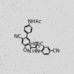 CC(=O)Nc1ccc(-c2cc3c(C(=O)Nc4ccc(C#N)cc4C(=O)O)noc3cc2C#N)cc1